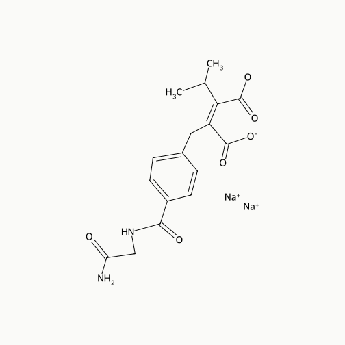 CC(C)/C(C(=O)[O-])=C(\Cc1ccc(C(=O)NCC(N)=O)cc1)C(=O)[O-].[Na+].[Na+]